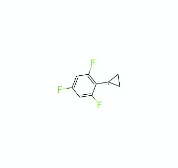 Fc1cc(F)c([C]2CC2)c(F)c1